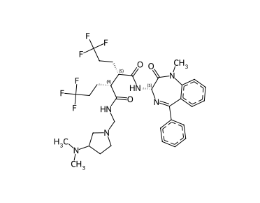 CN1C(=O)[C@@H](NC(=O)[C@@H](CCC(F)(F)F)[C@@H](CCC(F)(F)F)C(=O)NCN2CCC(N(C)C)C2)N=C(c2ccccc2)c2ccccc21